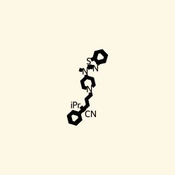 CC(C)C(C#N)(CCCN1CCC(N(C)c2nc3ccccc3s2)CC1)c1ccccc1